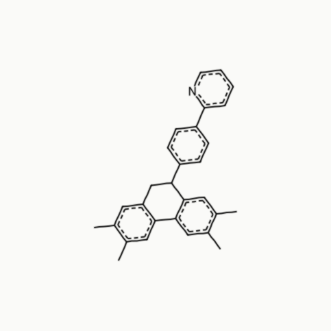 Cc1cc2c(cc1C)-c1cc(C)c(C)cc1C(c1ccc(-c3ccccn3)cc1)C2